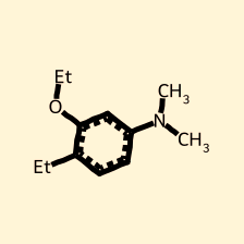 CCOc1cc(N(C)C)ccc1CC